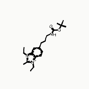 CCn1c(C)[n+](CC)c2ccc(CCCNC(=O)OC(C)(C)C)cc21